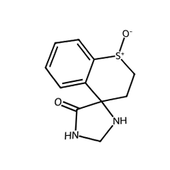 O=C1NCNC12CC[S+]([O-])c1ccccc12